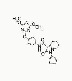 COc1nc(OC)nc(Oc2ccc(NC(=O)c3c4n(n(-c5ccccc5)c3=O)CCCC4)cc2)n1